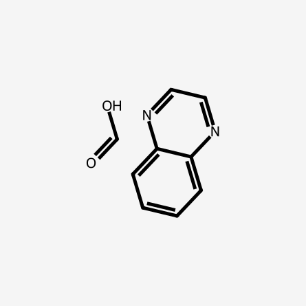 O=CO.c1ccc2nccnc2c1